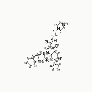 CN1CCN(CCCNC(=O)c2cn3c4c(c(N5CCCC5)c(F)cc4c2=O)Oc2cc4c(cc2-3)oc2ccccc24)CC1